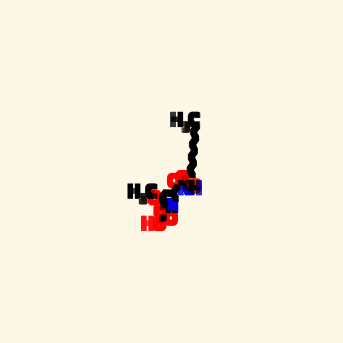 CCCCCCCCCCS(=O)(=O)NC(=O)c1cnc(OC(=O)O)c(OC)c1